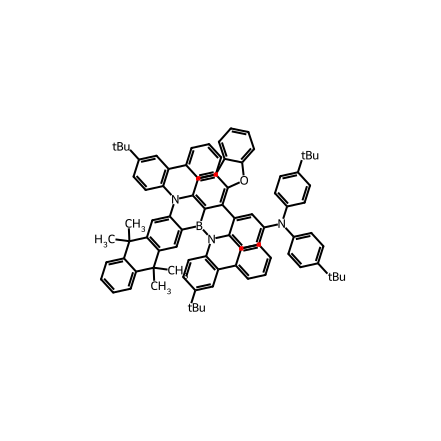 CC(C)(C)c1ccc(N(c2ccc(C(C)(C)C)cc2)c2ccc3c(c2)-c2c4c(cc5c2oc2ccccc25)N(c2ccc(C(C)(C)C)cc2-c2ccccc2)c2cc5c(cc2B4N3c2ccc(C(C)(C)C)cc2-c2ccccc2)C(C)(C)c2ccccc2C5(C)C)cc1